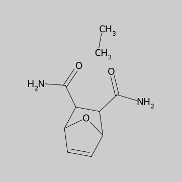 CC.NC(=O)C1C2C=CC(O2)C1C(N)=O